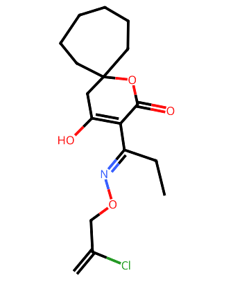 C=C(Cl)CO/N=C(\CC)C1=C(O)CC2(CCCCCC2)OC1=O